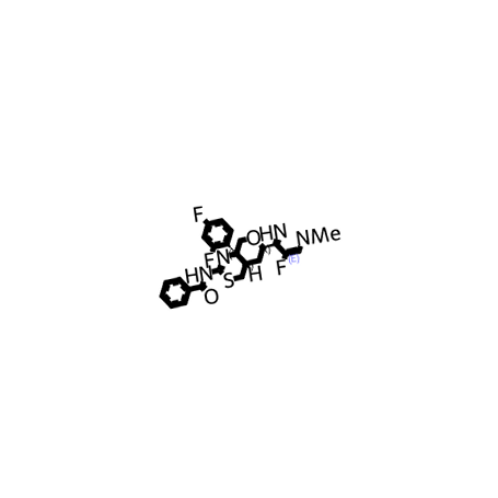 CN/C=C(/F)C(=N)[C@H]1C[C@H]2CSC(NC(=O)c3ccccc3)=N[C@@]2(c2ccc(F)cc2F)CO1